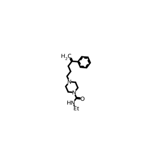 C=C(CCCN1CCN(C(=O)NCC)CC1)c1ccccc1